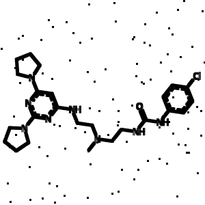 CN(CCNC(=O)Nc1ccc(Cl)cc1)CCNc1cc(N2CCCC2)nc(N2CCCC2)n1